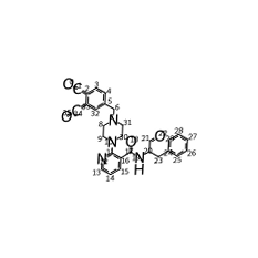 O=C=c1ccc(CN2CCN(c3ncccc3C(=O)NC(C=O)Cc3ccccc3)CC2)cc1=C=O